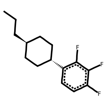 CCC[C@H]1CC[C@H](c2ccc(F)c(F)c2F)CC1